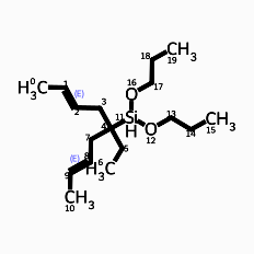 C/C=C/CC(CC)(C/C=C/C)[SiH](OCCC)OCCC